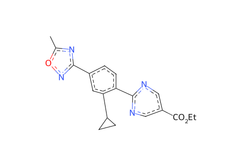 CCOC(=O)c1cnc(-c2ccc(-c3noc(C)n3)cc2C2CC2)nc1